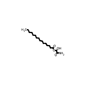 CCCCCCCCCCCCCCCC(=O)OC(O)C(N)=O